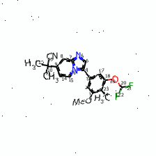 COc1cc(-c2cnc3cc(C(C)(C)C#N)ccn23)cc(OC(F)F)c1C